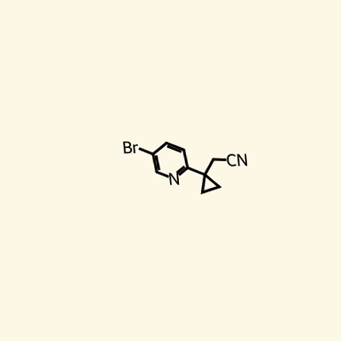 N#CCC1(c2ccc(Br)cn2)CC1